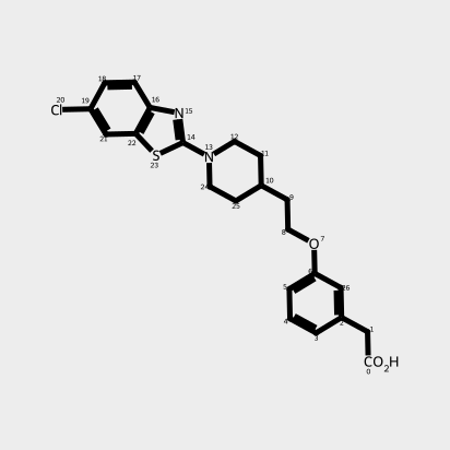 O=C(O)Cc1cccc(OCCC2CCN(c3nc4ccc(Cl)cc4s3)CC2)c1